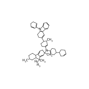 CC1CCC2C3=CCC(C)(N(C4=CCC(C5CC=CCC5)CC4)C4=CC(C)C(C5=Cc6c(n(C7=CCCC=C7)c7ccccc67)CC5)CC4)C=C3C(C)(C)[C@H]2C1